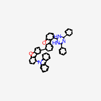 c1ccc(C2=NC(c3ccccc3)NC(c3cccc4oc5c(-c6ccc7oc8cccc(-n9c%10ccccc%10c%10ccccc%109)c8c7c6)cccc5c34)N2)cc1